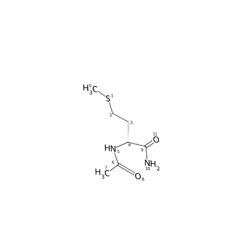 CSCC[C@@H](NC(C)=O)C(N)=O